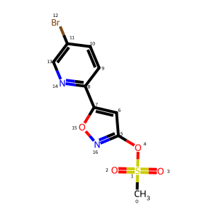 CS(=O)(=O)Oc1cc(-c2ccc(Br)cn2)on1